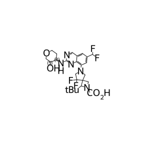 CC(C)(C)C1N(C(=O)O)CC12CN(c1cc(C(F)F)cc3cnc(N[C@@H]4CCOC[C@H]4O)nc13)CC2(F)F